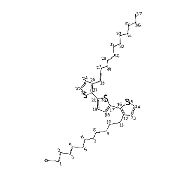 CCCCCCCCCCCCc1ccsc1-c1ccc(-c2sccc2CCCCCCCCCCCC)s1